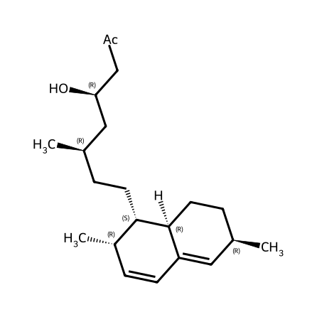 CC(=O)C[C@H](O)C[C@H](C)CC[C@H]1[C@@H](C)C=CC2=C[C@H](C)CC[C@@H]21